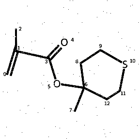 C=C(C)C(=O)OC1(C)CCSCC1